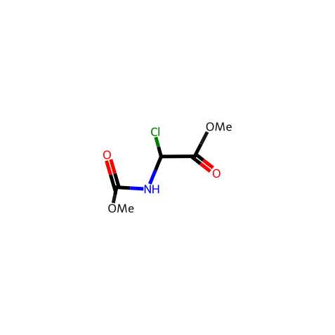 COC(=O)NC(Cl)C(=O)OC